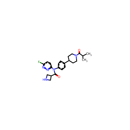 CC(C)C(=O)N1CCC(c2ccc(N(C(=O)C3CNC3)c3ccc(F)nn3)cc2)CC1